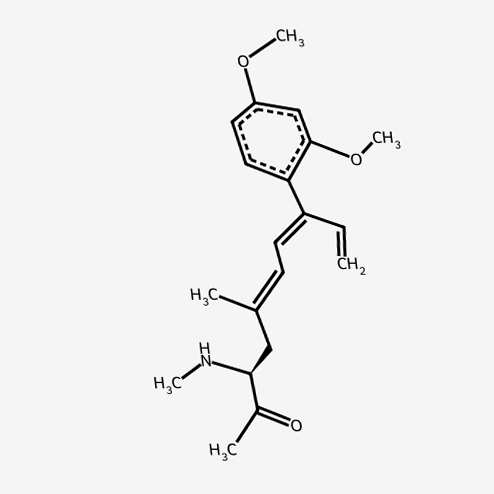 C=C/C(=C\C=C(/C)C[C@H](NC)C(C)=O)c1ccc(OC)cc1OC